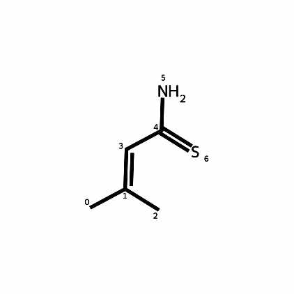 CC(C)=CC(N)=S